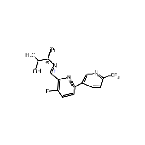 CC(C)[C@@H](/N=C/c1nc(-c2ccc(C(F)(F)F)nc2)ccc1F)C(C)O